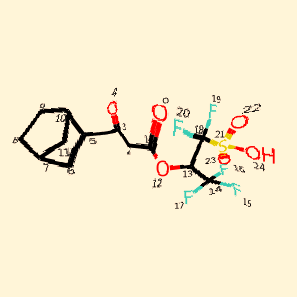 O=C(CC(=O)C1CC2CCC1C2)OC(C(F)(F)F)C(F)(F)S(=O)(=O)O